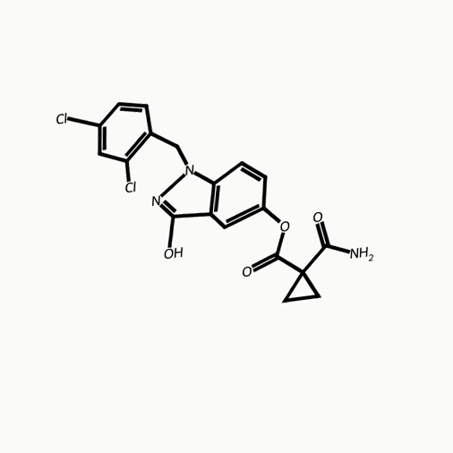 NC(=O)C1(C(=O)Oc2ccc3c(c2)c(O)nn3Cc2ccc(Cl)cc2Cl)CC1